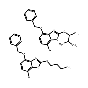 CC(C)C(C)Oc1nc2c(OCc3ccccc3)ccc(Br)c2o1.CCCCOc1nc2c(OCc3ccccc3)ccc(Br)c2o1